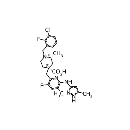 Cc1cc(Nc2nc(C[C@@]3(C(=O)O)CCN(Cc4cccc(Cl)c4F)[C@H](C)C3)c(F)cc2C)n[nH]1